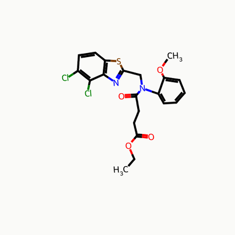 CCOC(=O)CCC(=O)N(Cc1nc2c(Cl)c(Cl)ccc2s1)c1ccccc1OC